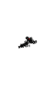 COc1ccc(Cn2ncc(N3Cc4ccccc4C3COC3CCN([C@@H]4CCN(c5ncc(C6CC6)cn5)C[C@H]4O)C3=O)c(C(F)(F)F)c2=O)cc1